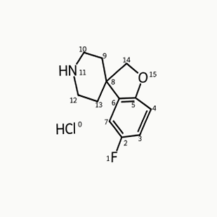 Cl.Fc1ccc2c(c1)C1(CCNCC1)CO2